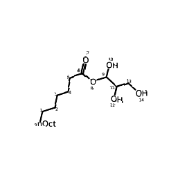 CCCCCCCCCCCCCC(=O)OC(O)C(O)CO